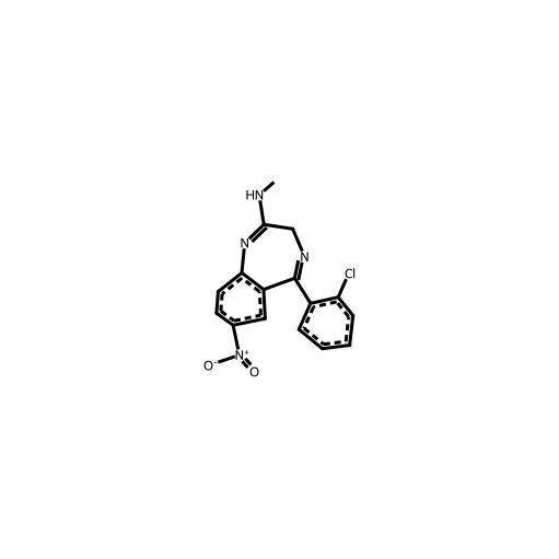 CNC1=Nc2ccc([N+](=O)[O-])cc2C(c2ccccc2Cl)=NC1